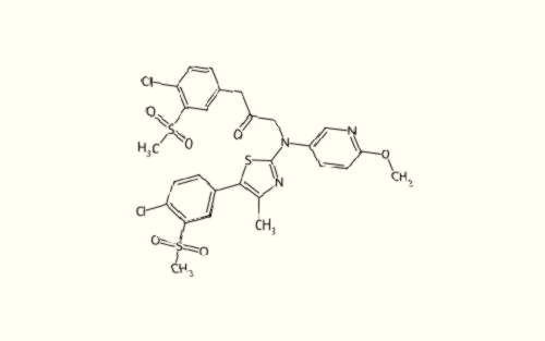 COc1ccc(N(CC(=O)Cc2ccc(Cl)c(S(C)(=O)=O)c2)c2nc(C)c(-c3ccc(Cl)c(S(C)(=O)=O)c3)s2)cn1